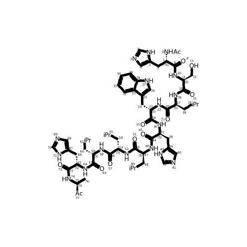 CC(=O)N[C@@H](Cc1cnc[nH]1)C(=O)N[C@@H](CO)C(=O)N[C@@H](CC(C)C)C(=O)N[C@@H](Cc1c[nH]c2ccccc12)C(=O)N[C@@H](Cc1cnc[nH]1)C(=O)N[C@@H](CC(C)C)C(=O)N[C@@H](CC(C)C)C(=O)N[C@@H](CC(C)C)C(=O)N[C@@H](Cc1cnc[nH]1)C(=O)N[C@@H](C)C(C)=O